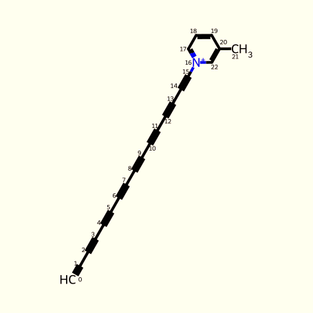 C#CC#CC#CC#CC#CC#CC#CC#C[n+]1cccc(C)c1